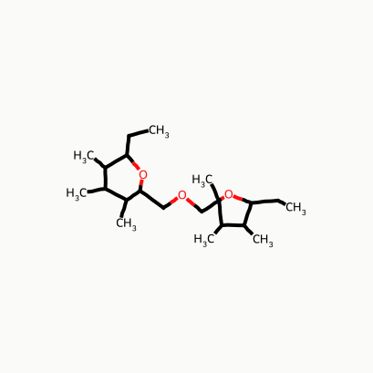 CCC1OC(COCC2(C)OC(CC)C(C)C2C)C(C)C(C)C1C